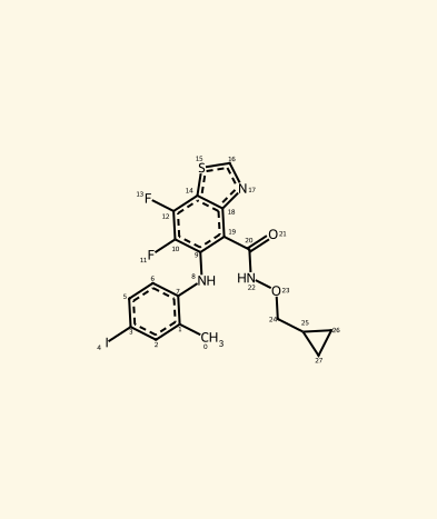 Cc1cc(I)ccc1Nc1c(F)c(F)c2scnc2c1C(=O)NOCC1CC1